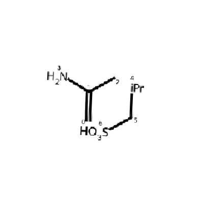 C=C(C)N.CC(C)CS(=O)(=O)O